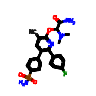 CN(C)C(Oc1nc(-c2ccc(F)cc2)c(-c2ccc(S(N)(=O)=O)cc2)cc1C#N)C(N)=O